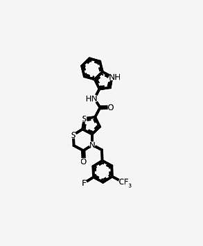 O=C(Nc1c[nH]c2ccccc12)c1cc2c(s1)SCC(=O)N2Cc1cc(F)cc(C(F)(F)F)c1